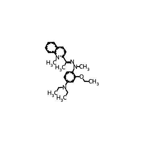 CCOc1cc(N(CC)CC)ccc1N(C)/N=C(\C)c1ccc2ccccc2[n+]1C